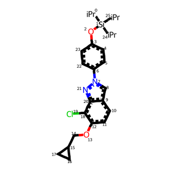 CC(C)[Si](Oc1ccc(-n2cc3ccc(OCC4CC4)c(Cl)c3n2)cc1)(C(C)C)C(C)C